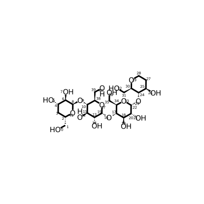 OC[C@@H]1C[C@H](O)[C@@H](O)[C@@H](O[C@H]2[C@H](O)[C@@H](O)[C@@H](O[C@H]3[C@H](O)[C@@H](O)[C@@H](O[C@H]4[C@H](O)CCO[C@@H]4CO)O[C@@H]3CO)O[C@@H]2CO)O1